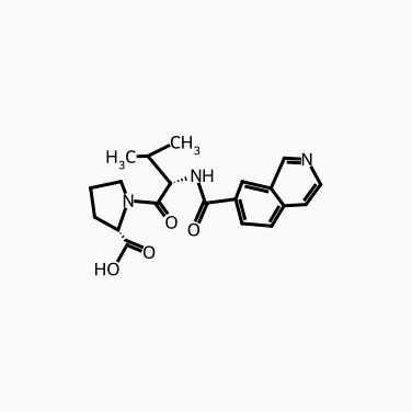 CC(C)[C@H](NC(=O)c1ccc2ccncc2c1)C(=O)N1CCC[C@H]1C(=O)O